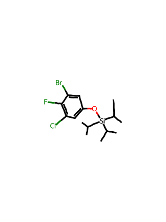 CC(C)[Si](Oc1cc(Cl)c(F)c(Br)c1)(C(C)C)C(C)C